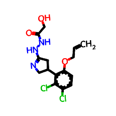 C=CCOc1ccc(Cl)c(Cl)c1C1CN=C(NNC(=O)CO)C1